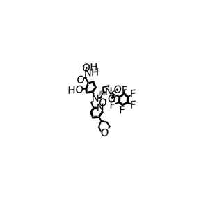 O=C(NO)c1ccc(N(Cc2ccc(C3CCOCC3)cn2)C(=O)[C@H]2CCN2S(=O)(=O)c2c(F)c(F)c(F)c(F)c2F)cc1O